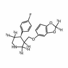 [2H]C1([2H])Oc2ccc(OCC3([2H])[C@H](c4ccc(F)cc4)C([2H])([2H])CNC3([2H])[2H])cc2O1